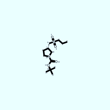 CCCS(=O)(=O)C[C@H]1CCN(C(=O)OC(C)(C)C)C1